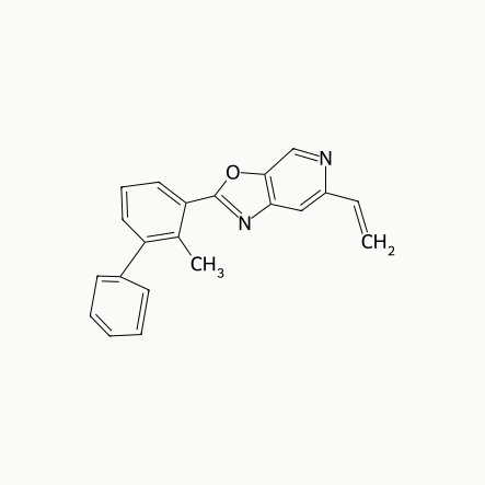 C=Cc1cc2nc(-c3cccc(-c4ccccc4)c3C)oc2cn1